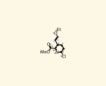 CCO/C=C/c1ccc(Cl)nc1C(=O)OC